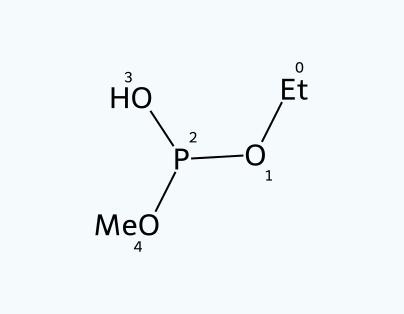 CCOP(O)OC